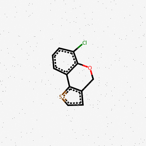 Clc1cccc2c1OCc1ccsc1-2